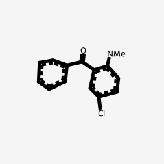 CNc1ccc(Cl)cc1C(=O)c1ccccc1